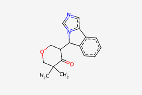 CC1(C)COCC(C2c3ccccc3-c3cncn32)C1=O